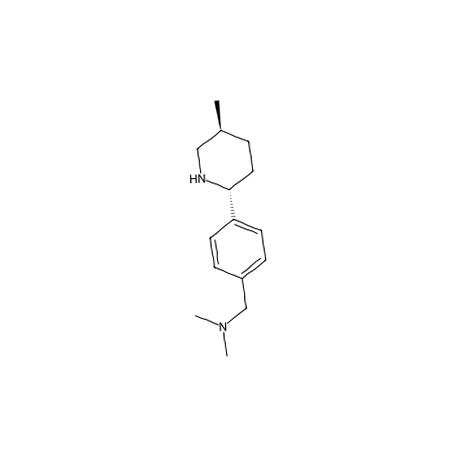 C[C@H]1CC[C@H](c2ccc(CN(C)C)cc2)NC1